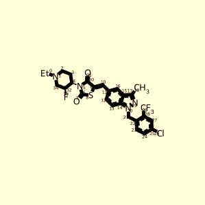 CCN1CC[C@H](N2C(=O)S/C(=C\c3ccc4c(c3)c(C)nn4Cc3ccc(Cl)cc3C(F)(F)F)C2=O)[C@@H](F)C1